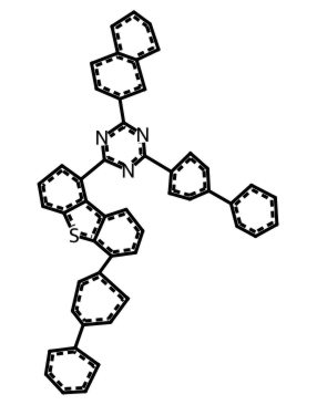 c1ccc(-c2ccc(-c3nc(-c4ccc5ccccc5c4)nc(-c4cccc5sc6c(-c7ccc(-c8ccccc8)cc7)cccc6c45)n3)cc2)cc1